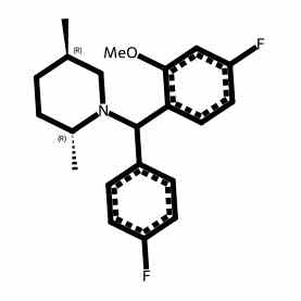 COc1cc(F)ccc1C(c1ccc(F)cc1)N1C[C@H](C)CC[C@H]1C